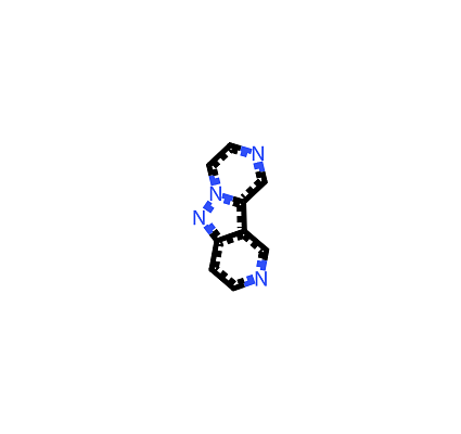 c1cc2nn3ccncc3c2cn1